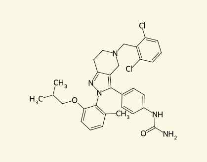 Cc1cccc(OCC(C)C)c1-n1nc2c(c1-c1ccc(NC(N)=O)cc1)CN(Cc1c(Cl)cccc1Cl)CC2